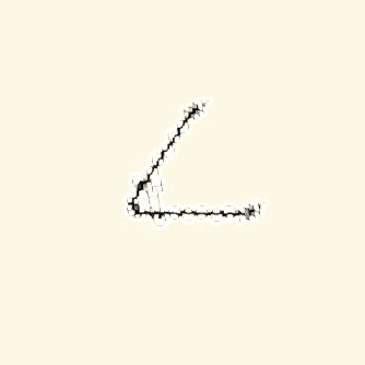 C[Si](C)(CCCNC(=O)CCOCCOCCOCCOCCOCCN=[N+]=[N-])O[Si](C)(C)CCCNC(=O)CCOCCOCCOCCOCCOCCN=[N+]=[N-]